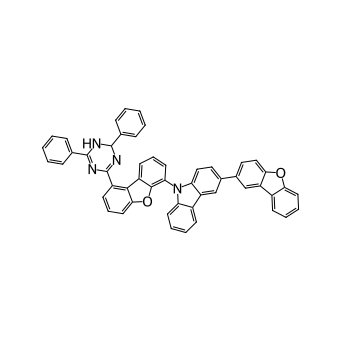 c1ccc(C2=NC(c3cccc4oc5c(-n6c7ccccc7c7cc(-c8ccc9oc%10ccccc%10c9c8)ccc76)cccc5c34)=NC(c3ccccc3)N2)cc1